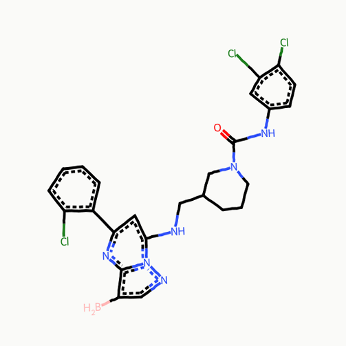 Bc1cnn2c(NCC3CCCN(C(=O)Nc4ccc(Cl)c(Cl)c4)C3)cc(-c3ccccc3Cl)nc12